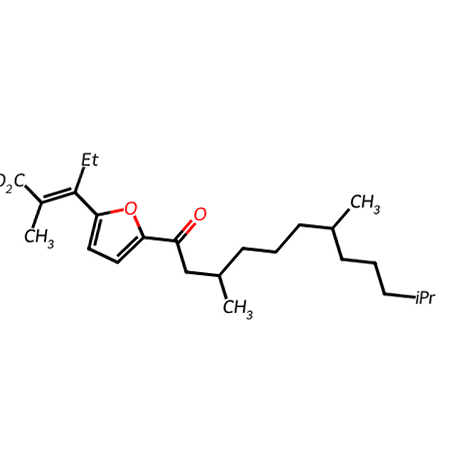 CCC(=C(C)C(=O)O)c1ccc(C(=O)CC(C)CCCC(C)CCCC(C)C)o1